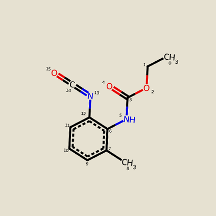 CCOC(=O)Nc1c(C)cccc1N=C=O